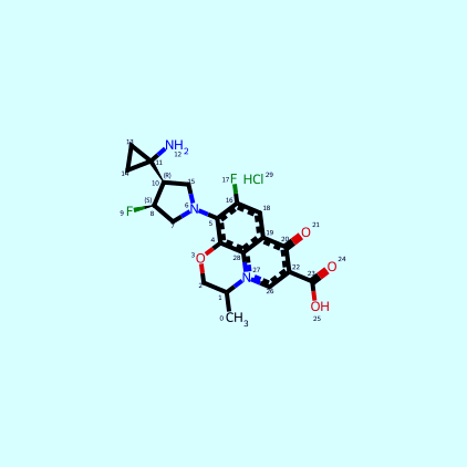 CC1COc2c(N3C[C@@H](F)[C@@H](C4(N)CC4)C3)c(F)cc3c(=O)c(C(=O)O)cn1c23.Cl